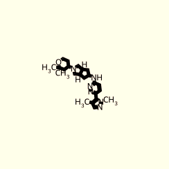 Cc1cnn(C)c1-c1ccc(NC2C[C@@H]3CN(C4CCOC(C)(C)C4)C[C@@H]3C2)nn1